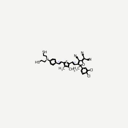 Cc1c(/C=C/C2=C(C#N)C(=C(C#N)C#N)OC2(C)c2ccc(Cl)c(Cl)c2)sc(/C=C/c2ccc(N(CCS)CCS)cc2)c1C